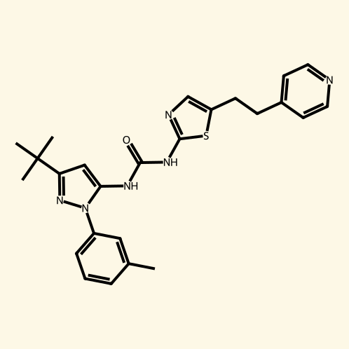 Cc1cccc(-n2nc(C(C)(C)C)cc2NC(=O)Nc2ncc(CCc3ccncc3)s2)c1